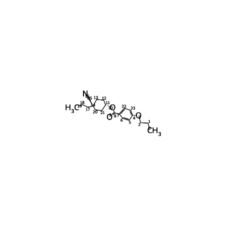 CCCOc1ccc(C(=O)O[C@H]2CC[C@@](C#N)(CCC)CC2)cc1